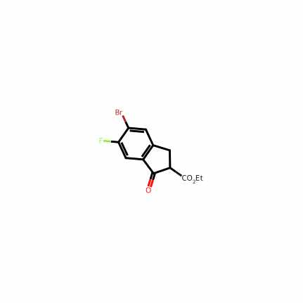 CCOC(=O)C1Cc2cc(Br)c(F)cc2C1=O